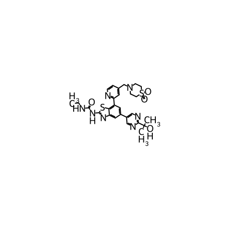 CCNC(=O)Nc1nc2cc(-c3cnc(C(C)(C)O)nc3)cc(-c3cc(CN4CCS(=O)(=O)CC4)ccn3)c2s1